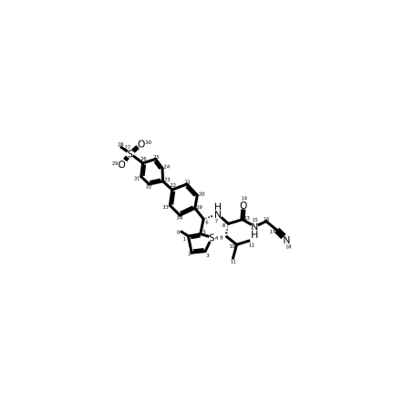 Cc1ccsc1[C@@H](N[C@@H](CC(C)C)C(=O)NCC#N)c1ccc(-c2ccc(S(C)(=O)=O)cc2)cc1